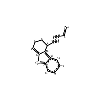 O=CNNC1CCC=C2N=c3ccccc3=C21